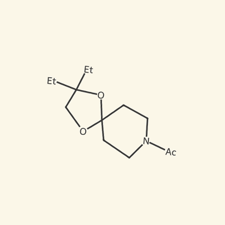 CCC1(CC)COC2(CCN(C(C)=O)CC2)O1